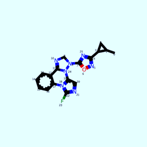 CC1CC1c1noc(N2CN=C3c4ccccc4-n4c(cnc4F)N32)n1